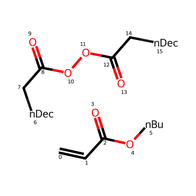 C=CC(=O)OCCCC.CCCCCCCCCCCC(=O)OOC(=O)CCCCCCCCCCC